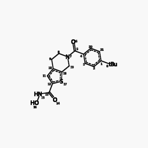 CC(C)(C)c1ccc(C(=O)N2CCc3cc(C(=O)NO)sc3C2)cc1